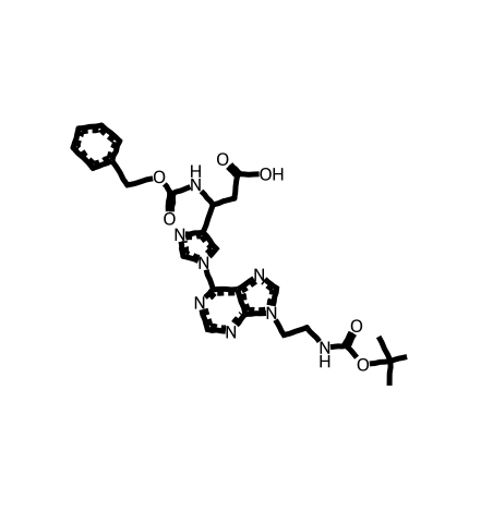 CC(C)(C)OC(=O)NCCn1cnc2c(-n3cnc(C(CC(=O)O)NC(=O)OCc4ccccc4)c3)ncnc21